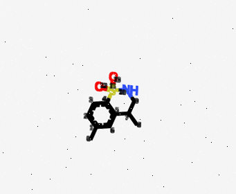 Cc1ccc2c(c1)C(C)CNS2(=O)=O